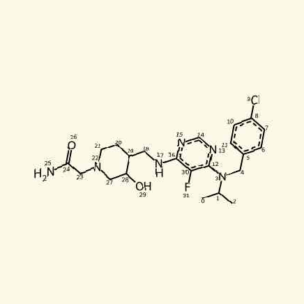 CC(C)N(Cc1ccc(Cl)cc1)c1ncnc(NCC2CCN(CC(N)=O)CC2O)c1F